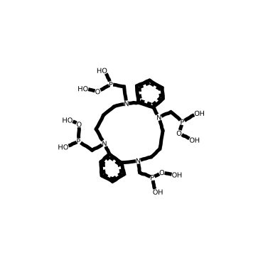 OOP(O)CN1CCCN(CP(O)OO)c2ccccc2N(CP(O)OO)CCCN(CP(O)OO)c2ccccc21